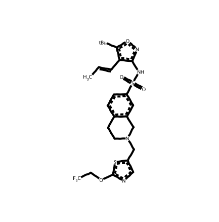 C/C=C/c1c(NS(=O)(=O)c2ccc3c(c2)CN(Cc2cnc(OCC(F)(F)F)s2)CC3)noc1C(C)(C)C